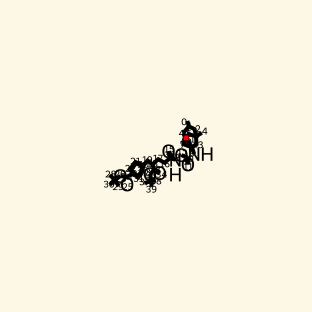 CC1CC2(C)CC3CC(NC(=O)ONC(=O)CCC(Cc4ccc(C(=O)OC(C)(C)C)cc4)C(=O)OC(C)(C)C)(CCC13)C2